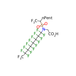 CCCCCC(C(F)(F)F)S(=O)(=O)N(CC(=O)O)C(F)(F)C(F)(F)C(F)(F)C(F)(F)C(F)(F)C(F)(F)C(F)(F)C(F)(F)F